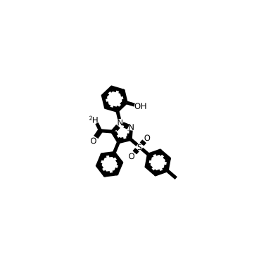 [2H]C(=O)c1c(-c2ccccc2)c(S(=O)(=O)c2ccc(C)cc2)nn1-c1ccccc1O